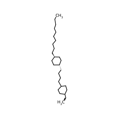 C=CC1CCC(CCCC[C@H]2CC[C@H](CCCCCCCCCC)CC2)CC1